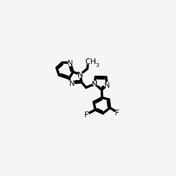 CCn1c(Cn2ccnc2-c2cc(F)cc(F)c2)nc2cccnc21